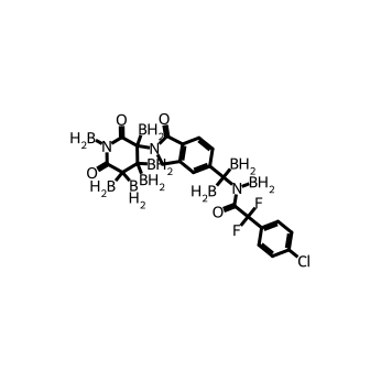 BN1C(=O)C(B)(B)C(B)(B)C(B)(N2Cc3cc(C(B)(B)N(B)C(=O)C(F)(F)c4ccc(Cl)cc4)ccc3C2=O)C1=O